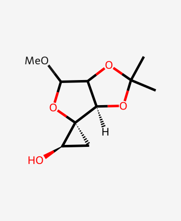 COC1O[C@@]2(C[C@H]2O)[C@@H]2OC(C)(C)OC12